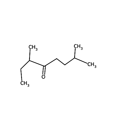 CCC(C)C(=O)CCC(C)C